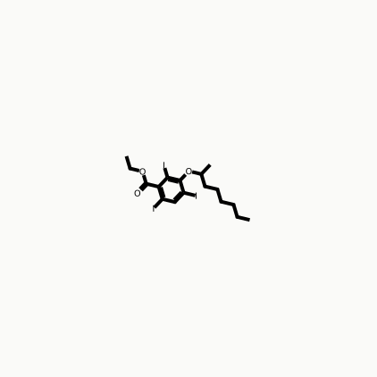 CCCCCCC(C)Oc1c(I)cc(I)c(C(=O)OCC)c1I